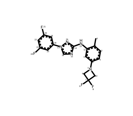 Cc1ccc(N2CC(F)(F)C2)cc1Nc1ncn(-c2cc(F)cc(F)c2)n1